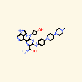 CN1CCN(C2CCN(c3ccc(Nc4nc(N[C@H]5C[C@H](O)C5)c(-c5cncc6[nH]ccc56)nc4C(N)O)cc3)CC2)CC1